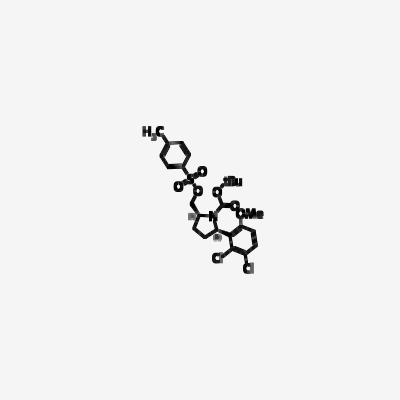 COc1ccc(Cl)c(Cl)c1[C@H]1CC[C@@H](COS(=O)(=O)c2ccc(C)cc2)N1C(=O)OC(C)(C)C